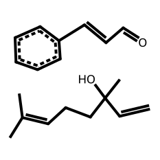 C=CC(C)(O)CCC=C(C)C.O=CC=Cc1ccccc1